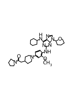 COc1cc(N2CCC(CC(=O)N3CCCC3)CC2)ccc1Nc1nc(NC2CCCCC2)c2ncn(C3CCCCO3)c2n1